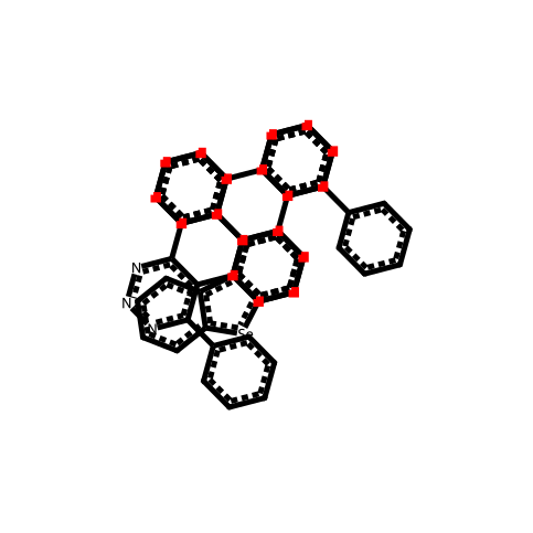 c1ccc(-c2ccccc2-c2ccc3[se]c4ccccc4c3c2-c2c(-c3ccccc3)cccc2-c2nnnc(-c3ccccc3)c2-c2ccccc2-c2ccccc2)cc1